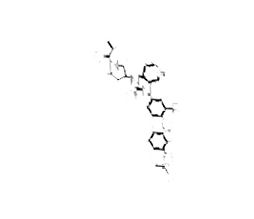 C=CC(=O)N1CCC(n2c(=O)n(-c3ccc(Oc4cccc(OC(C)C)c4)c(F)c3)c3cnccc32)C1